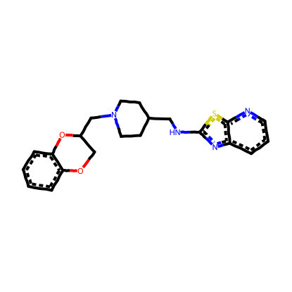 c1ccc2c(c1)OCC(CN1CCC(CNc3nc4cccnc4s3)CC1)O2